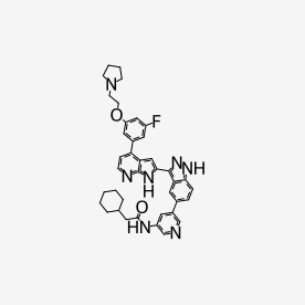 O=C(CC1CCCCC1)Nc1cncc(-c2ccc3[nH]nc(-c4cc5c(-c6cc(F)cc(OCCN7CCCC7)c6)ccnc5[nH]4)c3c2)c1